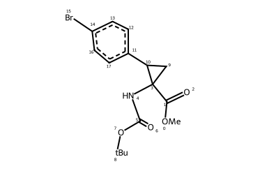 COC(=O)C1(NC(=O)OC(C)(C)C)CC1c1ccc(Br)cc1